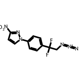 [N-]=[N+]=NCC(F)(F)c1ccc(-n2ccc([N+](=O)[O-])n2)cc1